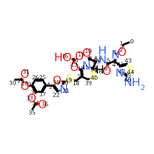 CCON=C(C(=O)N[C@@H]1C(=O)N2C(OC(=O)O)=C(CSc3ncc(-c4ccc(OC(C)=O)c(OC(C)=O)c4)o3)CS[C@@H]12)c1csc(N)n1